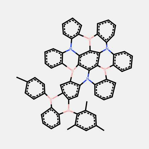 Cc1ccc(B2c3ccccc3B(c3c(C)cc(C)cc3C)c3cc4c(cc32)B2c3ccccc3N3c5ccccc5B5c6ccccc6N6c7ccccc7B7c8ccccc8N4c4c7c6c5c3c42)cc1